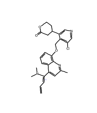 C=C/C=C(/c1cc(C)nc2c(OCc3c(Cl)cncc3C3CCOC(=O)C3)cccc12)N(C)C